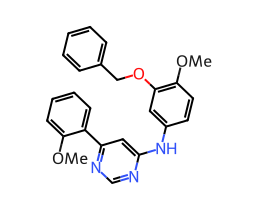 COc1ccc(Nc2cc(-c3ccccc3OC)ncn2)cc1OCc1ccccc1